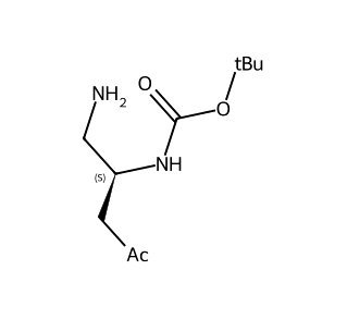 CC(=O)C[C@@H](CN)NC(=O)OC(C)(C)C